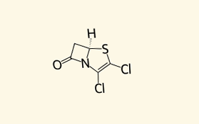 O=C1C[C@H]2SC(Cl)=C(Cl)N12